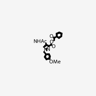 COc1ccc(Cn2cc(NC(C)=O)c(C(=O)OCC(=O)c3ccccc3)n2)cc1